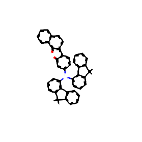 CC1(C)c2ccccc2-c2c(N(c3ccc4c(c3)oc3c5ccccc5ccc43)c3cccc4c3-c3ccccc3C4(C)C)cccc21